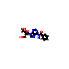 O=C(Nc1ncnc2c1ncn2[C@@H]1O[C@H](CO)[C@H]1CO)c1ccccc1